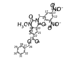 Cn1c(=O)n(Cc2cc([N+](=O)[O-])cc([N+](=O)[O-])c2)c(=O)c2cc(C(=O)OCc3ccccc3)sc21